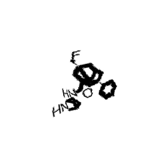 O=C(NC1CC2CNC1C2)C12CC3C[C@](CF)(C1)C[C@@](c1ccccc1)(C3)C2